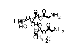 CO[PH](=O)OC(=O)CN.CO[PH](=O)OC(=O)CN.O=[PH](O)O.[Zr].[Zr]